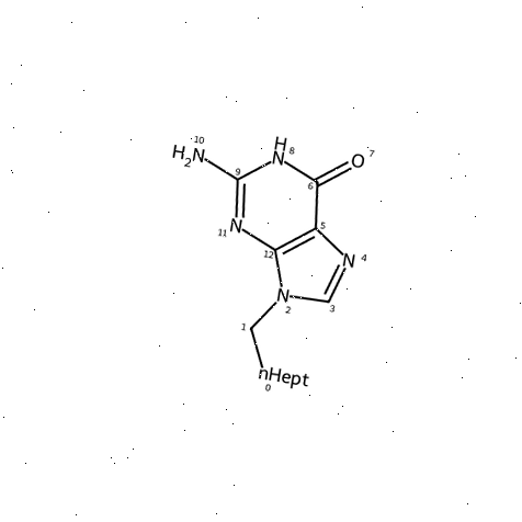 CCCCCCCCn1cnc2c(=O)[nH]c(N)nc21